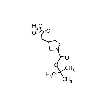 CC(C)(C)OC(=O)N1CCC(CS(C)(=O)=O)C1